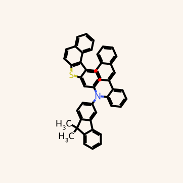 CC1(C)c2ccccc2-c2cc(N(c3ccc4c(c3)sc3ccc5ccccc5c34)c3ccccc3-c3ccc4ccccc4c3)ccc21